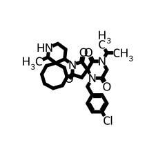 CC(C)N1CC(=O)N(Cc2ccc(Cl)cc2)C2(CC(=O)N(C3CCNC(C)C34CCCCCCC4)C2=O)C1=O